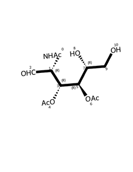 CC(=O)N[C@@H](C=O)[C@@H](OC(C)=O)[C@H](OC(C)=O)[C@H](O)CO